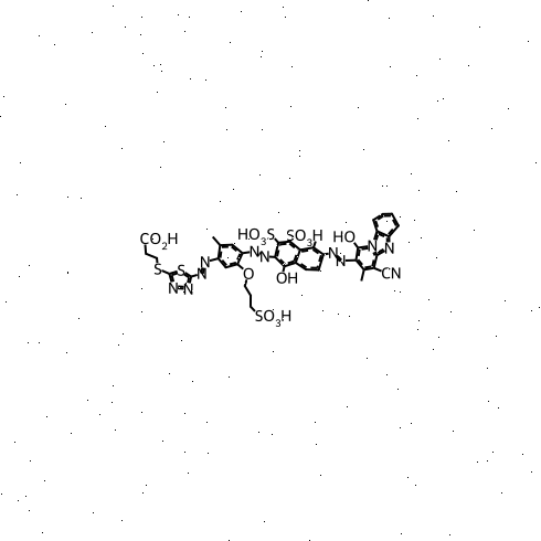 Cc1cc(N=Nc2c(S(=O)(=O)O)cc3c(S(=O)(=O)O)c(N=Nc4c(C)c(C#N)c5nc6ccccc6n5c4O)ccc3c2O)c(OCCCS(=O)(=O)O)cc1N=Nc1nnc(SCCC(=O)O)s1